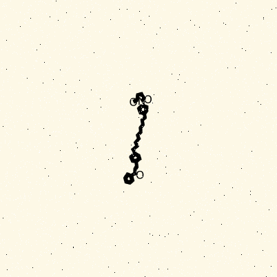 O=C(/C=C/c1ccc(CCCCCCCCCCc2ccc(N3C(=O)C=CC3=O)cc2)cc1)c1ccccc1